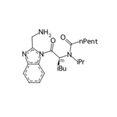 CCCCCC(=O)N(C(C)C)[C@H](C(=O)n1c(CN)nc2ccccc21)C(C)CC